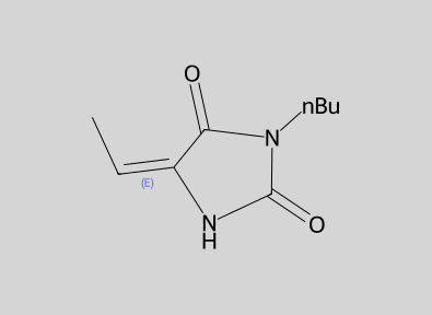 C/C=C1/NC(=O)N(CCCC)C1=O